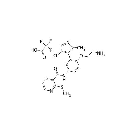 CSc1ncccc1C(=O)Nc1ccc(OCCN)c(-c2c(Cl)cnn2C)c1.O=C(O)C(F)(F)F